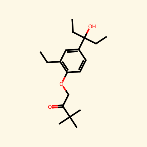 CCc1cc(C(O)(CC)CC)ccc1OCC(=O)C(C)(C)C